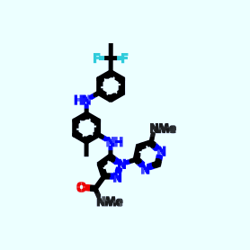 CNC(=O)c1cc(Nc2cc(Nc3cccc(C(C)(F)F)c3)ccc2C)n(-c2cc(NC)ncn2)n1